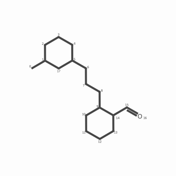 CC1CCCC(CCCC2CCCCC2C=O)C1